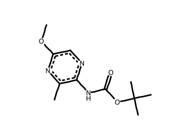 COc1cnc(NC(=O)OC(C)(C)C)c(C)n1